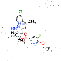 C/C(CCC1(C)OB(c2cnc(OCC(F)(F)F)c(F)c2)OC1(C)C)=C1\C=C(Cl)C=CN1N=N